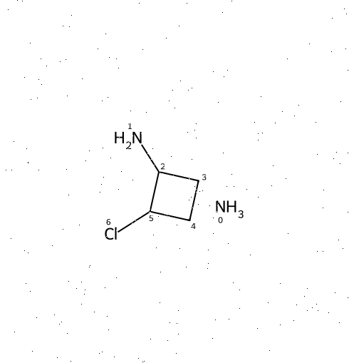 N.NC1CCC1Cl